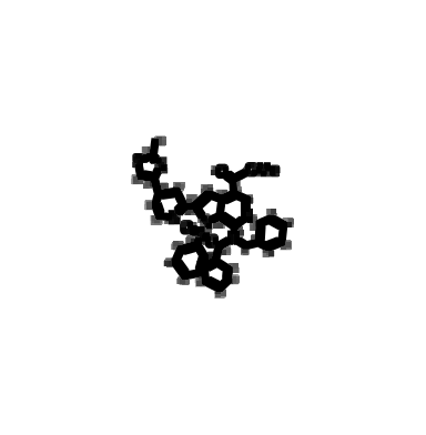 COC(=O)c1cnc(N(Cc2ccccc2)Cc2ccccc2)c2c1cc(-c1cc(-c3csc(C)n3)ccn1)n2S(=O)(=O)c1ccccc1